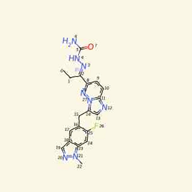 CC/C(=N\NC(N)=O)c1ccc2ncc(Cc3cc4cnn(C)c4cc3F)n2n1